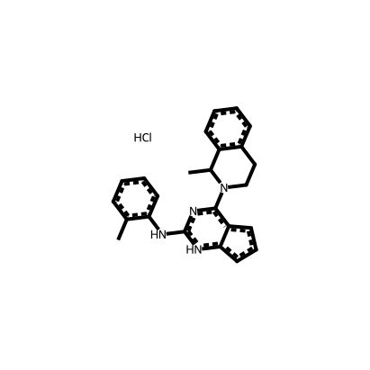 Cc1ccccc1Nc1nc(N2CCc3ccccc3C2C)c2cccc-2[nH]1.Cl